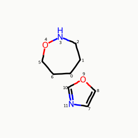 C1CCNOCC1.c1cocn1